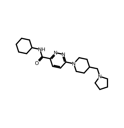 O=C(NC1CCCCC1)c1ccc(N2CCC(CN3CCCC3)CC2)nn1